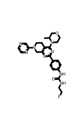 CC1COCCN1c1nc(-c2ccc(NC(=O)NCCF)cc2)nc2c1CCN(c1cnccn1)C2